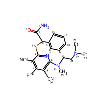 CCc1c(C#N)c(SC(C(N)=O)c2ccccc2)nc(N(C)CCN(CC)CC)c1C#N